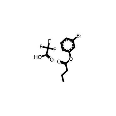 CCCC(=O)Oc1cccc(Br)c1.O=C(O)C(F)(F)F